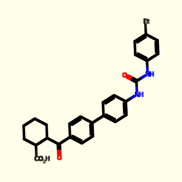 CCc1ccc(NC(=O)Nc2ccc(-c3ccc(C(=O)C4CCCCC4C(=O)O)cc3)cc2)cc1